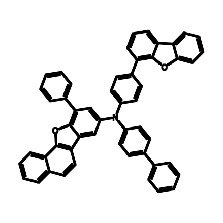 c1ccc(-c2ccc(N(c3ccc(-c4cccc5c4oc4ccccc45)cc3)c3cc(-c4ccccc4)c4oc5c6ccccc6ccc5c4c3)cc2)cc1